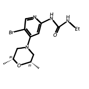 CCNC(=O)Nc1cc(N2C[C@@H](C)O[C@@H](C)C2)c(Br)cn1